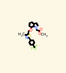 COC(=O)Cn1ccc2cccc(OCc3sc(-c4ccc(C(F)(F)F)cc4)nc3C)c21